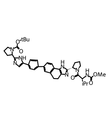 COC(=O)N[C@H](C(=O)N1CCC[C@H]1c1nc2c([nH]1)-c1ccc(-c3ccc(-c4cnc(C5CCCN5C(=O)OC(C)(C)C)[nH]4)cc3)cc1CC2)C(C)C